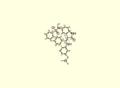 CN(C)Cc1cccc(N/C(=C2\C(=O)Nc3ccc(N(C)S(=O)(=O)c4ccccc4)cc32)c2ccccc2)c1